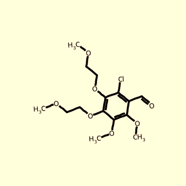 COCCOc1c(Cl)c(C=O)c(OC)c(OC)c1OCCOC